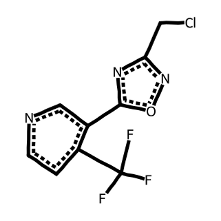 FC(F)(F)c1ccncc1-c1nc(CCl)no1